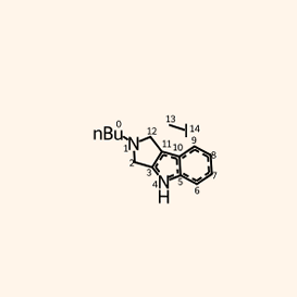 CCCCN1Cc2[nH]c3ccccc3c2C1.CI